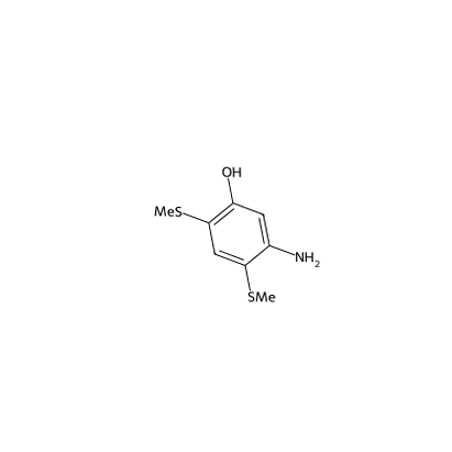 CSc1cc(SC)c(O)cc1N